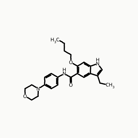 CCCCOc1cc2[nH]cc(CC)c2cc1C(=O)Nc1ccc(N2CCOCC2)cc1